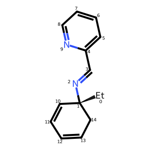 CC[C@]1(N=Cc2ccccn2)C=CC=CC1